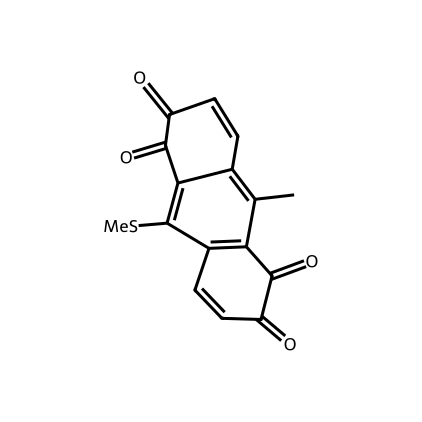 CSc1c2ccc(=O)c(=O)c2c(C)c2ccc(=O)c(=O)c12